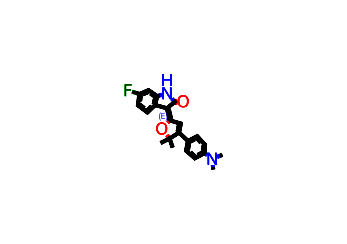 CN(C)c1ccc(C2=C/C(=C3\C(=O)Nc4cc(F)ccc43)OC2(C)C)cc1